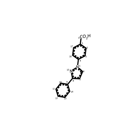 O=C(O)c1ccc(-n2ccc(-c3ccccc3)n2)cc1